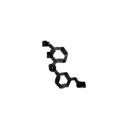 OCc1cccc(Oc2cccc(Br)n2)c1